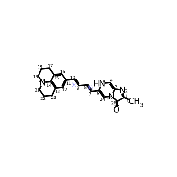 Cc1nc2c[nH]c(/C=C/C=C/c3cc4c5c(c3)CCCN5CCC4)cn-2c1=O